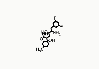 CC1CCC(O)(C(CC(O)C(N)Cc2cc(F)cc(F)c2)C(N)=O)CC1